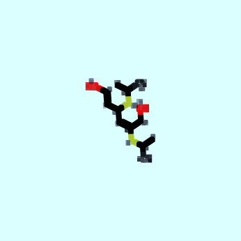 CC(C#N)SC(=CC(C=CO)SC(C)C#N)CO